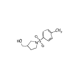 Cc1ccc(S(=O)(=O)N2CCC(CO)C2)cc1